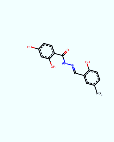 O=C(NN=Cc1cc([N+](=O)[O-])ccc1O)c1ccc(O)cc1O